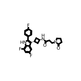 O=C(CCN1CCCC1=O)N[C@H]1C[C@@H](c2c(-c3ccc(F)cc3)[nH]c3c(F)cc(F)cc32)C1